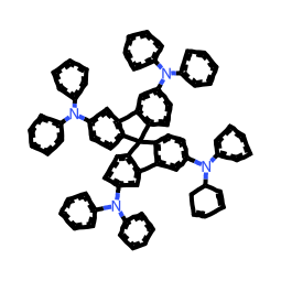 C1=CCC(N(c2ccccc2)c2ccc3c(c2)-c2cc(N(c4ccccc4)c4ccccc4)ccc2C32c3ccc(N(c4ccccc4)c4ccccc4)cc3-c3cc(N(c4ccccc4)c4ccccc4)ccc32)C=C1